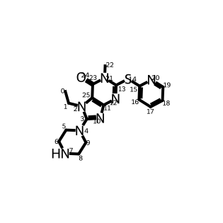 CCn1c(N2CCNCC2)nc2nc(Sc3ccccn3)n(C)c(=O)c21